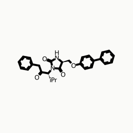 CC(C)[C@H](C(=O)Cc1ccccc1)N1C(=O)N[C@@H](COc2ccc(-c3ccccc3)cc2)C1=O